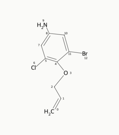 C=CCOc1c(Cl)cc(N)cc1Br